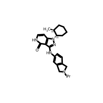 CC(C)N1Cc2ccc(Nc3nn([C@H]4CCCC[C@@H]4C)c4cc[nH]c(=O)c34)cc2C1